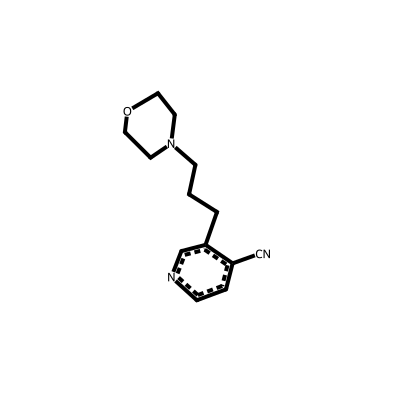 N#Cc1ccncc1CCCN1CCOCC1